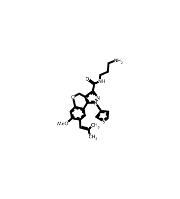 COc1cc2c(cc1C=C(C)C)-c1c(c(C(=O)NCCCN)nn1-c1ccsc1)CO2